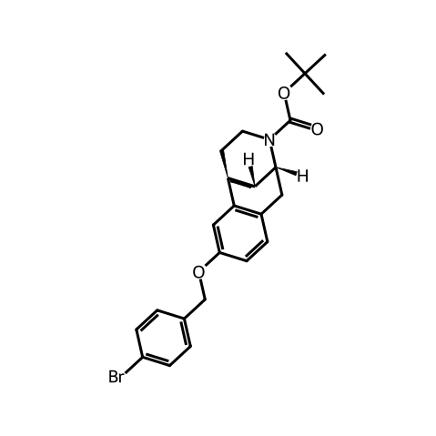 CC(C)(C)OC(=O)N1CC[C@]23CCCC[C@H]2[C@H]1Cc1ccc(OCc2ccc(Br)cc2)cc13